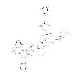 CC(C)C[C@@H](NC(=O)[C@@H](Cc1ccccc1)NC(=O)[C@@H](Cc1ccccc1)NC(=O)OC(C)(C)C)C(O)N[C@H](CCCCNC(=O)OC(C)(C)C)C(=O)N1CC(CCN(C)C(=O)OCc2ccccc2)(C(C)(F)F)C1